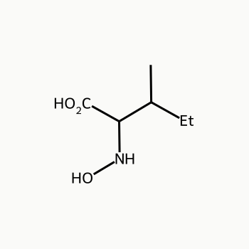 CCC(C)C(NO)C(=O)O